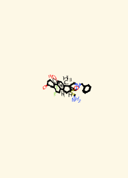 C[C@]12C=CC(=O)C=C1[C@@H](F)C[C@H]1[C@@H]3C[C@H]4CN(Cc5ccccc5)C[C@@]4(C(=O)SCN)[C@@]3(C)C[C@H](O)[C@@]12F